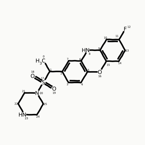 CC(c1ccc2c(c1)Nc1cc(F)ccc1O2)S(=O)(=O)N1CCNCC1